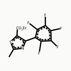 CCOC(=O)c1sc(C)nc1-c1c(F)c(F)c(F)c(F)c1F